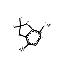 CC1(C)Cc2c(N)ccc(C(=O)O)c2O1